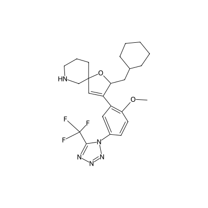 COc1ccc(-n2nnnc2C(F)(F)F)cc1C1=CC2(CCCNC2)OC1CC1CCCCC1